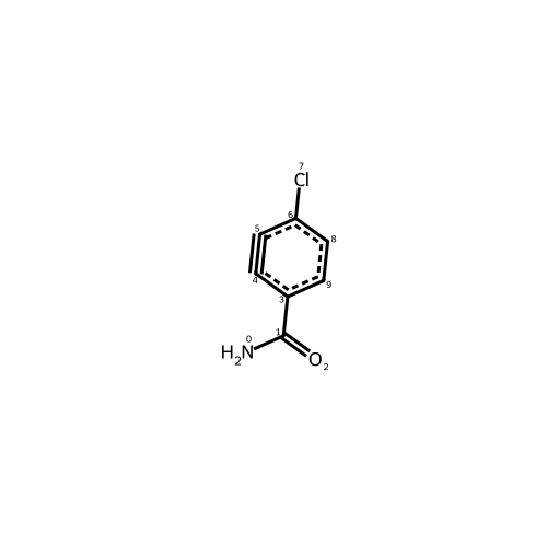 NC(=O)c1c#cc(Cl)cc1